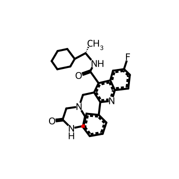 C[C@H](NC(=O)c1c(CN2CCNC(=O)C2)c(-c2ccccc2)nc2ccc(F)cc12)C1CCCCC1